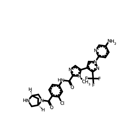 Cn1c(-c2cn(-c3ccc(N)cn3)nc2C(F)(F)F)cnc1C(=O)Nc1ccc(C(=O)N2C[C@H]3C[C@@H]2CN3)c(Cl)c1